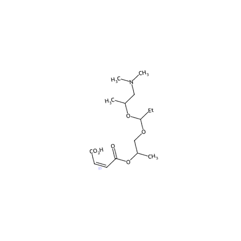 CCC(OCC(C)OC(=O)/C=C\C(=O)O)OC(C)CN(C)C